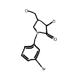 O=C1C(Cl)C(CCl)CN1c1cccc(Br)c1